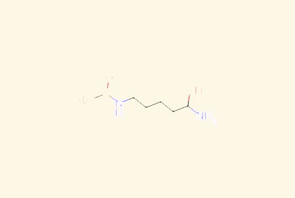 CC(C)(C)[S+]([O-])NCCCCC(N)O